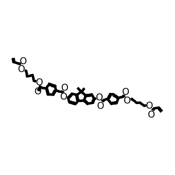 C=CC(=O)OCCCCOC(=O)c1ccc(C(=O)Oc2ccc3c(c2)C(C)(C)c2cc(OC(=O)c4ccc(C(=O)OCCCCOC(=O)C=C)cc4)ccc2-3)cc1